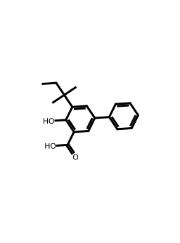 CCC(C)(C)c1cc(-c2ccccc2)cc(C(=O)O)c1O